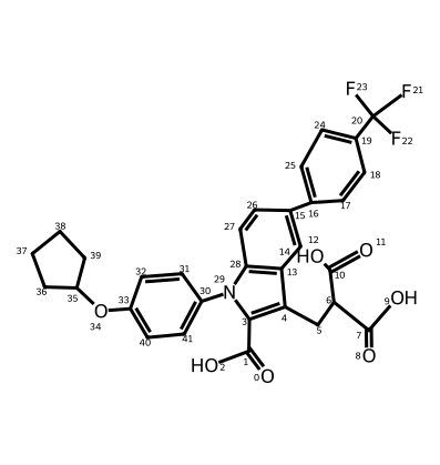 O=C(O)c1c(CC(C(=O)O)C(=O)O)c2cc(-c3ccc(C(F)(F)F)cc3)ccc2n1-c1ccc(OC2CCCC2)cc1